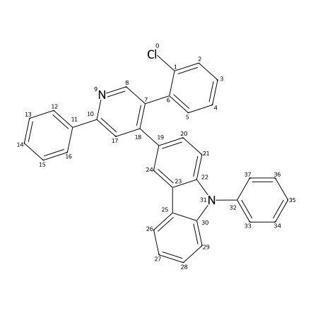 Clc1ccccc1-c1cnc(-c2ccccc2)cc1-c1ccc2c(c1)c1ccccc1n2-c1ccccc1